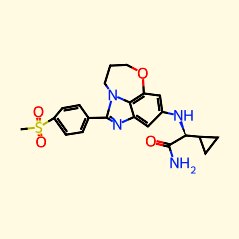 CS(=O)(=O)c1ccc(-c2nc3cc(N[C@H](C(N)=O)C4CC4)cc4c3n2CCCO4)cc1